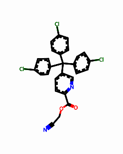 N#CCOC(=O)c1ccc(C(c2ccc(Cl)cc2)(c2ccc(Cl)cc2)c2ccc(Cl)cc2)cn1